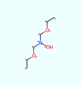 CCOCN(O)COCC